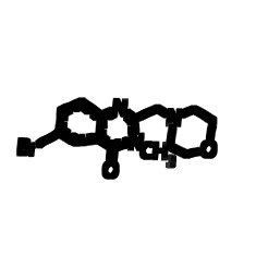 Cn1c(CN2CCOCC2)nc2ccc(Br)cc2c1=O